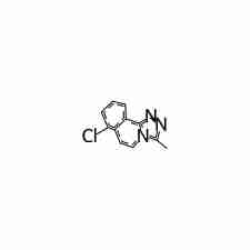 Cc1nnc2c3cccc(Cl)c3ccn12